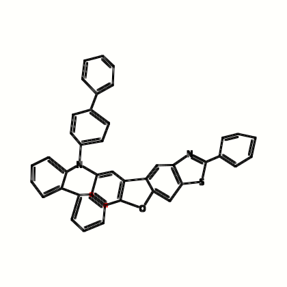 c1ccc(-c2ccc(N(c3ccc4oc5cc6sc(-c7ccccc7)nc6cc5c4c3)c3ccccc3-c3ccccc3)cc2)cc1